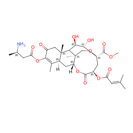 COC(=O)[C@]12C[C@@H](OC(=O)C=C(C)C)C(=O)O[C@@H]3C[C@H]4C(C)=C(OC(=O)C[C@@H](C)N)C(=O)C[C@]4(C)C([C@@H](O)[C@@H]1O)[C@@]3(C)CO2